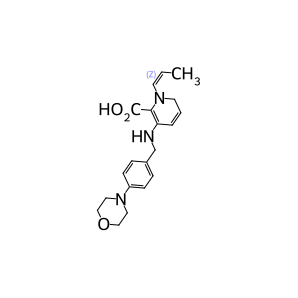 C/C=C\N1CC=CC(NCc2ccc(N3CCOCC3)cc2)=C1C(=O)O